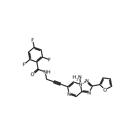 N[N+]12C=C(C#CCNC(=O)c3c(F)cc(F)cc3F)N=CC1=NC(c1ccco1)=N2